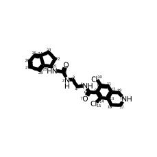 O=C(NCCNC(=O)c1c(Cl)cc2c(c1Cl)CCNC2)N[C@@H]1CCc2ccccc21